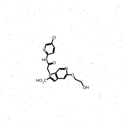 O=C(Cn1c(C(=O)O)cc2cc(OCCO)ncc21)Nc1ccc(Cl)cn1